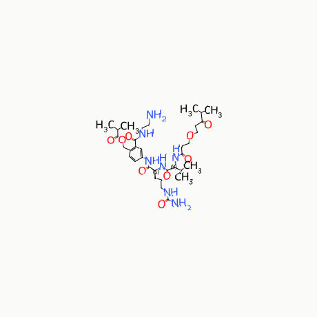 CC(C)C(=O)CCOCCC(=O)N[C@H](C(=O)N[C@@H](CCCNC(N)=O)C(=O)Nc1ccc(COC(=O)C(C)C)c(C(=O)NCCN)c1)C(C)C